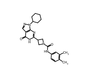 Cc1ccc(NC(=O)N2CC(c3nc4c(cnn4C4CCCCC4)c(=O)[nH]3)C2)cc1C